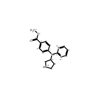 COC(=O)c1ccc(N(c2ncccn2)C2CCNC2)cc1